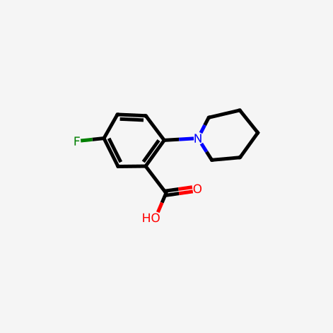 O=C(O)c1cc(F)ccc1N1CCCCC1